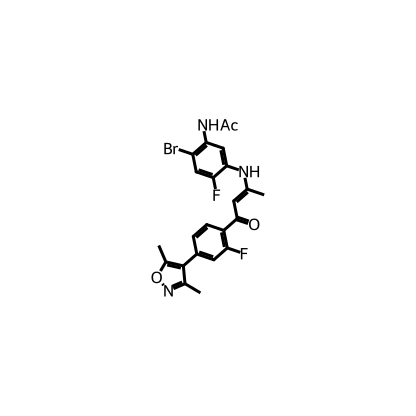 CC(=O)Nc1cc(NC(C)=CC(=O)c2ccc(-c3c(C)noc3C)cc2F)c(F)cc1Br